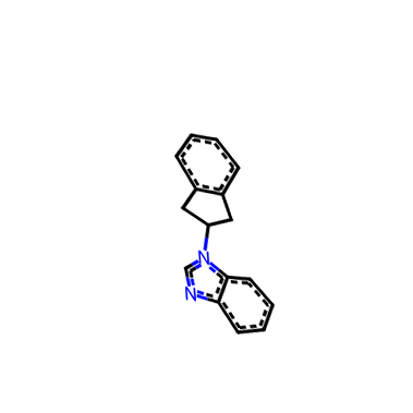 c1ccc2c(c1)CC(n1cnc3ccccc31)C2